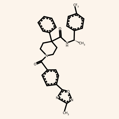 Cc1noc(-c2ccc(C(=O)N3CCC(C(=O)N[C@@H](C)c4ccc(C(F)(F)F)cc4)(c4ccccc4)CC3)cc2)n1